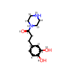 O=C(CCc1ccc(O)c(O)c1)N1CCNCC1